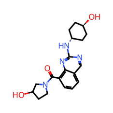 O=C(c1cccc2cnc(N[C@H]3CC[C@H](O)CC3)nc12)N1CCC(O)C1